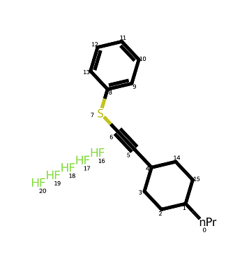 CCCC1CCC(C#CSc2ccccc2)CC1.F.F.F.F.F